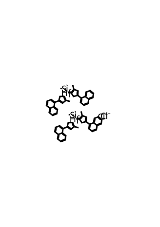 CC1=[C]([Hf]([C]2=C(C)C=C(c3cccc4ccccc34)C2)=[Si](C)C)CC(c2cccc3ccccc23)=C1.CC1=[C]([Hf]([C]2=C(C)C=C(c3cccc4ccccc34)C2)=[Si](C)C)CC(c2cccc3ccccc23)=C1.[Cl-].[Cl-]